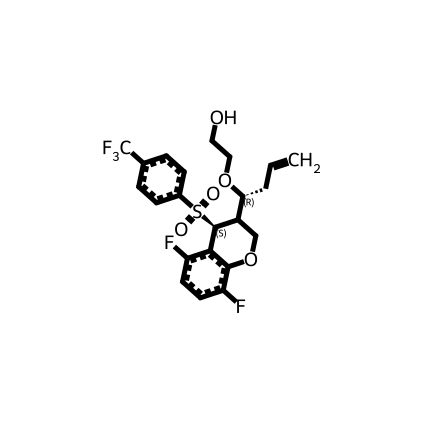 C=CC[C@@H](OCCO)C1COc2c(F)ccc(F)c2[C@H]1S(=O)(=O)c1ccc(C(F)(F)F)cc1